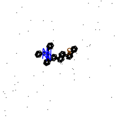 c1ccc(-c2nc(-c3ccccc3)nc(-n3c4ccccc4c4cc(-c5cccc6c(-c7cccc8c7sc7ccccc78)cccc56)ccc43)n2)cc1